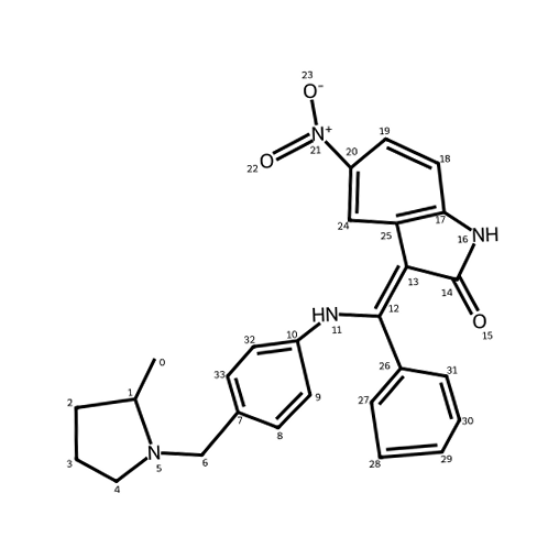 CC1CCCN1Cc1ccc(NC(=C2C(=O)Nc3ccc([N+](=O)[O-])cc32)c2ccccc2)cc1